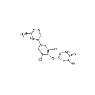 CC(C)c1cc(Oc2c(Cl)cc(N3C=NC=C(N)N3)cc2Cl)c[nH]c1=O